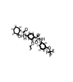 CCOc1cc(NC(=O)[C@H]2CCCC[C@@H]2O)ccc1S(=O)(=O)Nc1cccc(OC(F)(F)F)c1